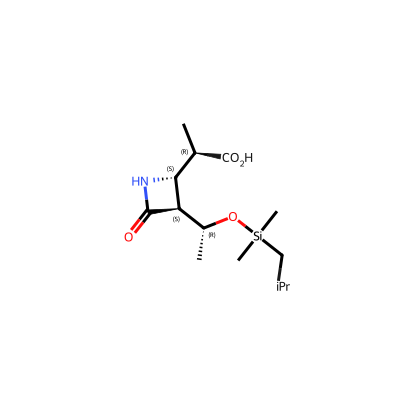 CC(C)C[Si](C)(C)O[C@H](C)[C@H]1C(=O)N[C@@H]1[C@@H](C)C(=O)O